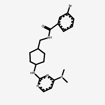 CN(C)c1ccnc(NC2CCC(CNC(=O)c3cccc(Br)c3)CC2)n1